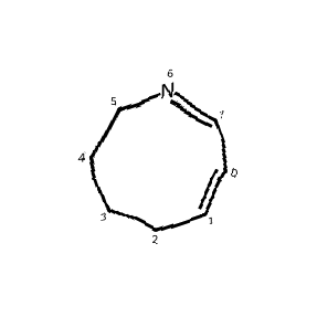 C1=C\CCCC\N=C/1